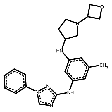 Cc1cc(Nc2ncn(-c3ccccc3)n2)cc(NC2CCN(C3COC3)C2)c1